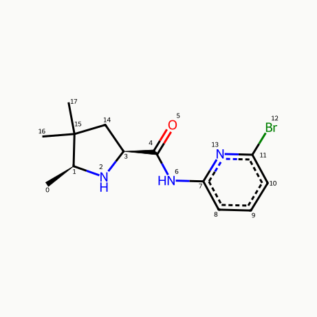 C[C@@H]1N[C@H](C(=O)Nc2cccc(Br)n2)CC1(C)C